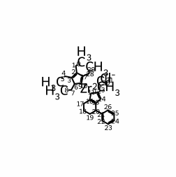 CCC1=C(CC)C(CC)[C]([Zr+2][CH]2C(C)=CC3=C2CCCC3c2ccccc2)=C1CC.[Cl-].[Cl-]